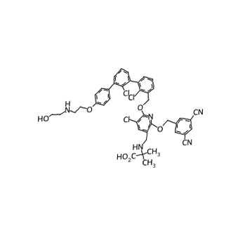 CC(C)(NCc1cc(Cl)c(OCc2cccc(-c3cccc(-c4ccc(OCCNCCO)cc4)c3Cl)c2Cl)nc1OCc1cc(C#N)cc(C#N)c1)C(=O)O